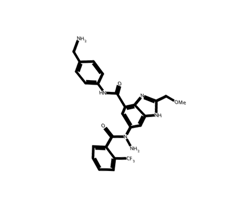 COCc1nc2c(C(=O)Nc3ccc(CN)cc3)cc(N(N)C(=O)c3ccccc3C(F)(F)F)cc2[nH]1